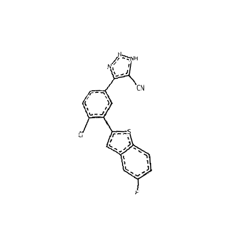 N#Cc1[nH]nnc1-c1ccc(Cl)c(-c2cc3cc(F)ccc3s2)c1